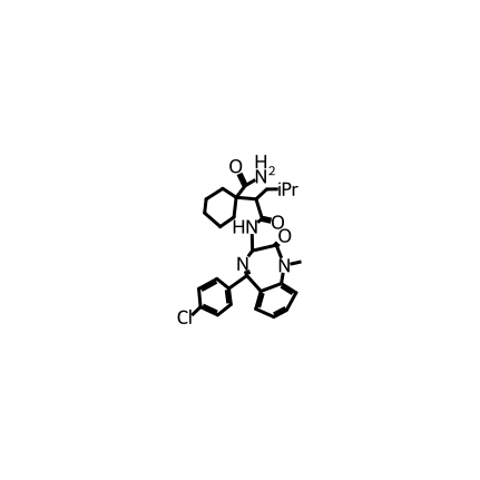 CC(C)CC(C(=O)NC1N=C(c2ccc(Cl)cc2)c2ccccc2N(C)C1=O)C1(C(N)=O)CCCCC1